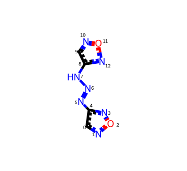 c1nonc1N=NNc1cnon1